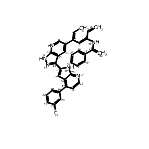 C=C/C(=C\C(=C/C)c1cnc2[nH]nc(-c3cc4c(-c5cccc(F)c5)ccnc4[nH]3)c2c1)NC(=C)c1ccccc1